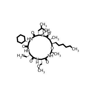 CCCCCC[C@H]1O[C@@H](C)NC(=O)[C@H](COC)NC(=O)[C@H](CN)NC(=O)[C@H](C2CCCCC2)NC(=O)[C@H](CC(C)C)N(C)C(=O)[C@@H]1C